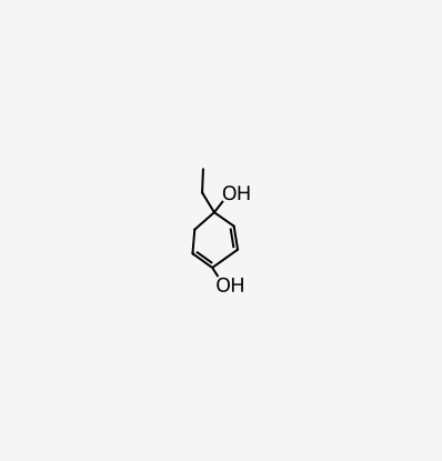 CCC1(O)C=CC(O)=CC1